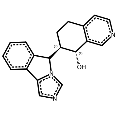 O[C@H]1c2cnccc2CC[C@@H]1C1c2ccccc2-c2cncn21